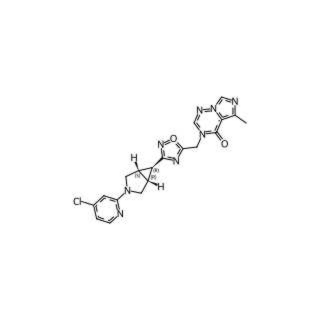 Cc1ncn2ncn(Cc3nc([C@H]4[C@@H]5CN(c6cc(Cl)ccn6)C[C@@H]54)no3)c(=O)c12